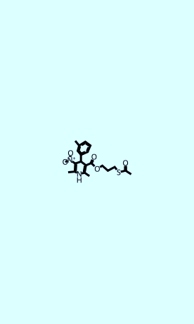 CC(=O)SCCCOC(=O)C1=C(C)NC(C)=C([N+](=O)[O-])C1c1cccc(C)c1